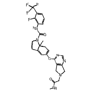 CNC(=O)CN1Cc2ncnc(OC3=CCC4(C)C(=C3)C=CN4C(=O)Nc3cccc(C(F)(F)F)c3F)c2C1